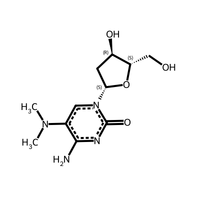 CN(C)c1cn([C@@H]2C[C@@H](O)[C@H](CO)O2)c(=O)nc1N